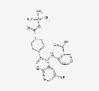 CC(C)(C)OC(=O)N1CC=C(c2cnc3ccc(Cl)cc3c2Nc2ccccc2C(=O)O)CC1